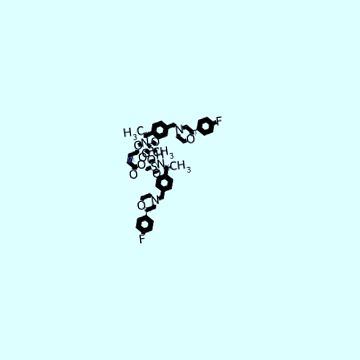 C[C@H](c1ccc(CN2CCO[C@@H](c3ccc(F)cc3)C2)cc1)N(OC(=O)/C=C\C(=O)OCS(=O)(=O)N[C@H](C)c1ccc(CN2CCO[C@@H](c3ccc(F)cc3)C2)cc1)S(C)(=O)=O